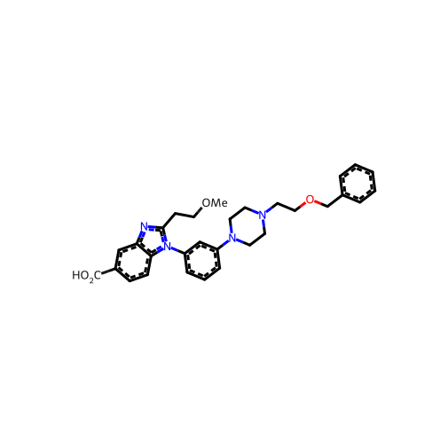 COCCc1nc2cc(C(=O)O)ccc2n1-c1cccc(N2CCN(CCOCc3ccccc3)CC2)c1